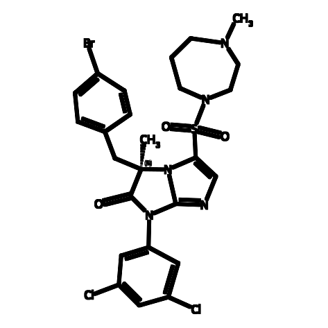 CN1CCCN(S(=O)(=O)c2cnc3n2[C@](C)(Cc2ccc(Br)cc2)C(=O)N3c2cc(Cl)cc(Cl)c2)CC1